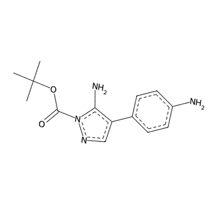 CC(C)(C)OC(=O)n1ncc(-c2ccc(N)cc2)c1N